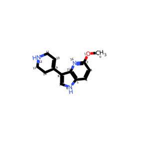 COc1ccc2[nH]cc(C3=CCNCC3)c2n1